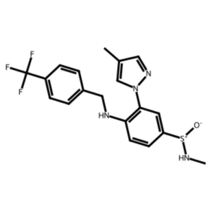 CN[S+]([O-])c1ccc(NCc2ccc(C(F)(F)F)cc2)c(-n2cc(C)cn2)c1